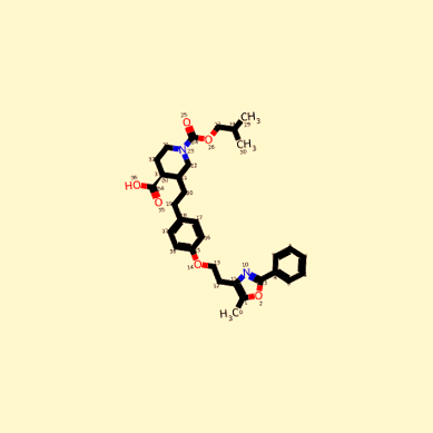 Cc1oc(-c2ccccc2)nc1CCOc1ccc(CCC2CN(C(=O)OCC(C)C)CC[C@@H]2C(=O)O)cc1